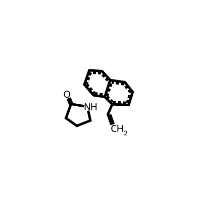 C=Cc1cccc2ccccc12.O=C1CCCN1